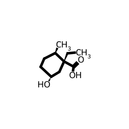 CC[C@@]1(C(=O)O)C[C@H](O)CC[C@H]1C